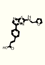 O=C(O)C=Cc1ccc(-c2cnc3sc(NCc4ccco4)nn23)cc1